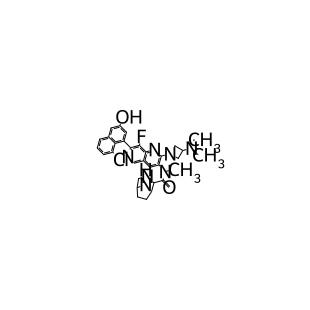 CN1C(=O)C2C3CCC(CN2c2c1c(N1CC(N(C)C)C1)nc1c(F)c(-c4cc(O)cc5cccc(Cl)c45)ncc21)N3